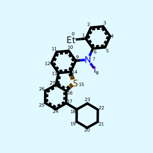 CCc1ccccc1N(I)c1cccc2c1sc1c(C3CCCCC3)cccc12